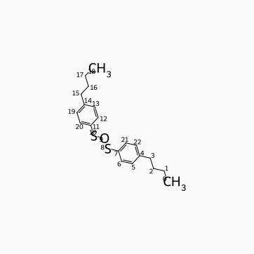 CCCCc1ccc(SOSc2ccc(CCCC)cc2)cc1